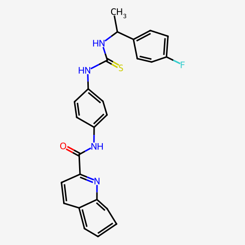 CC(NC(=S)Nc1ccc(NC(=O)c2ccc3ccccc3n2)cc1)c1ccc(F)cc1